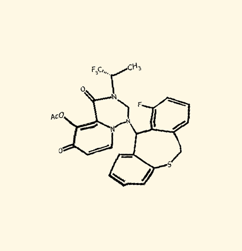 CC(=O)Oc1c2n(ccc1=O)N(C1c3ccccc3SCc3cccc(F)c31)CN([C@@H](C)C(F)(F)F)C2=O